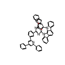 c1ccc(-c2cccc(-n3c4ccccc4c4ccc5c6ccccc6n(-c6nc(-c7ccccc7)nc(-c7cccc(-c8cc(-c9ccccc9)cc(-c9ccccc9)n8)c7)n6)c5c43)c2)cc1